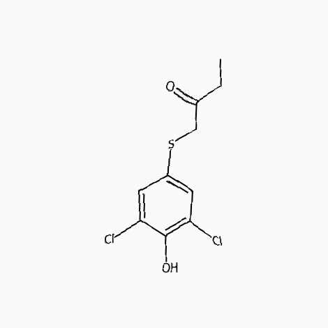 CCC(=O)CSc1cc(Cl)c(O)c(Cl)c1